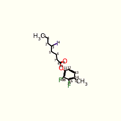 CCCC(I)CCCC(=O)Oc1ccc(C)c(F)c1F